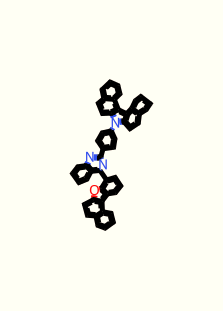 c1ccc2c(c1)ccc1oc3c(-c4nc(-c5ccc(-n6c7ccc8ccccc8c7c7c8ccccc8ccc76)cc5)nc5ccccc45)cccc3c12